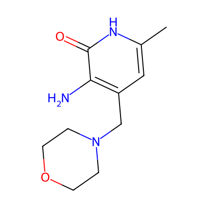 Cc1cc(CN2CCOCC2)c(N)c(=O)[nH]1